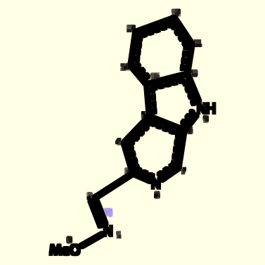 CO/N=C/c1cc2c(cn1)[nH]c1ccccc12